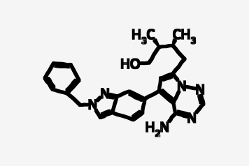 C[C@H](CO)[C@@H](C)Cc1cc(-c2ccc3cn(Cc4ccccc4)nc3c2)c2c(N)ncnn12